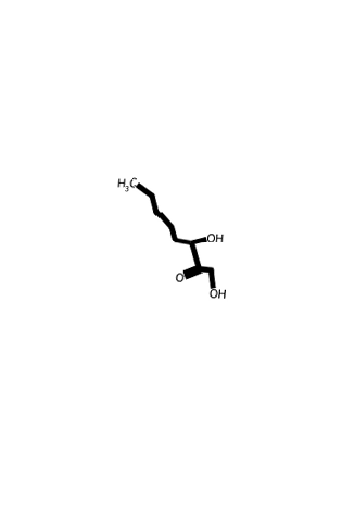 CCCCCC(O)C(=O)CO